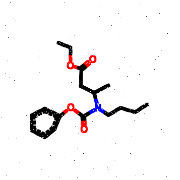 CCCCN(C(=O)Oc1ccccc1)C(C)CC(=O)OCC